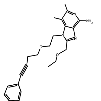 CCOCc1nc2c(N)nc(C)c(C)c2n1CCOCCC#Cc1ccccc1